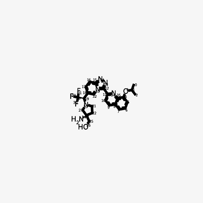 CC(C)Oc1cccc2ccc(-c3nnc4ccc([C@@H](N5CC[C@@](N)(CO)C5)C(F)(F)F)cn34)nc12